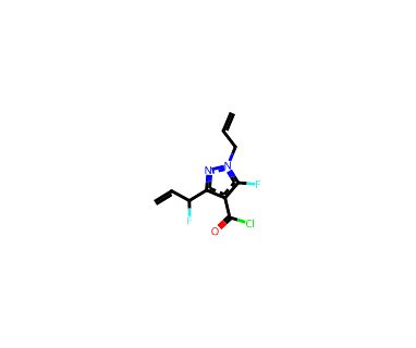 C=CCn1nc(C(F)C=C)c(C(=O)Cl)c1F